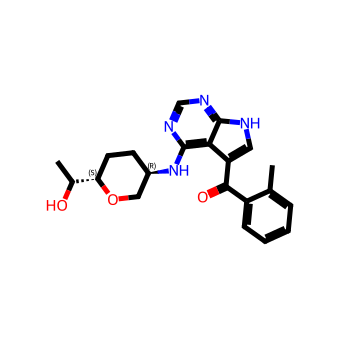 Cc1ccccc1C(=O)c1c[nH]c2ncnc(N[C@@H]3CC[C@@H](C(C)O)OC3)c12